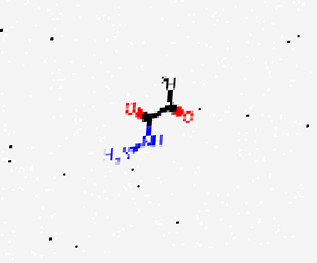 [2H]C(=O)C(=O)NN